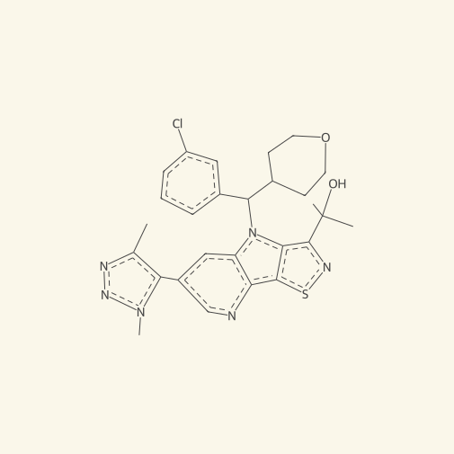 Cc1nnn(C)c1-c1cnc2c3snc(C(C)(C)O)c3n(C(c3cccc(Cl)c3)C3CCOCC3)c2c1